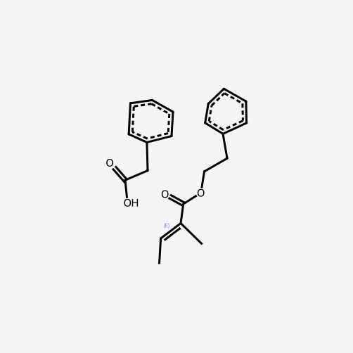 C/C=C(\C)C(=O)OCCc1ccccc1.O=C(O)Cc1ccccc1